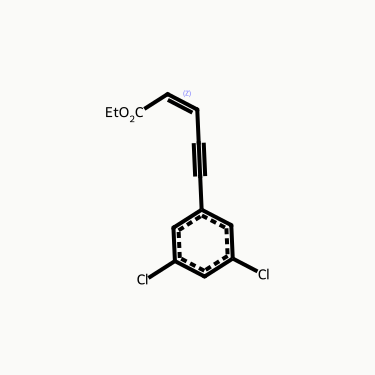 CCOC(=O)/C=C\C#Cc1cc(Cl)cc(Cl)c1